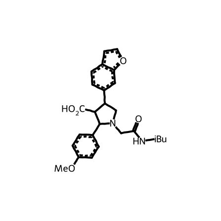 CCC(C)NC(=O)CN1CC(c2ccc3ccoc3c2)C(C(=O)O)C1c1ccc(OC)cc1